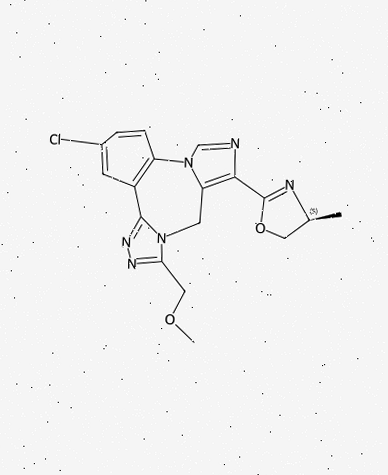 COCc1nnc2n1Cc1c(C3=N[C@@H](C)CO3)ncn1-c1ccc(Cl)cc1-2